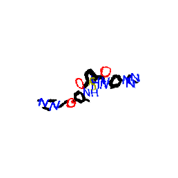 Cc1cc(OCCN2CCN(C)CC2)ccc1NC(=O)c1ccc(C(=O)Nc2ccc(-n3cncn3)cc2)s1